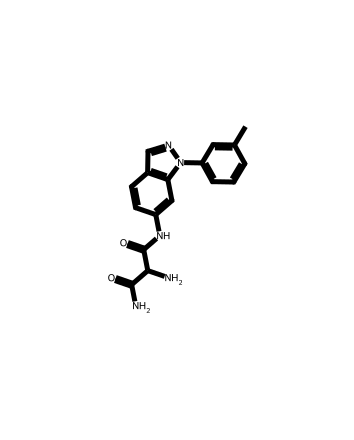 Cc1cccc(-n2ncc3ccc(NC(=O)C(N)C(N)=O)cc32)c1